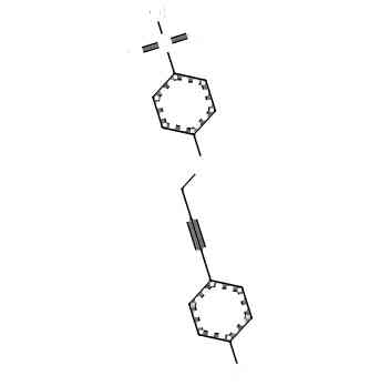 O=S(=O)(O)c1ccc(OCC#Cc2ccc(Cl)cc2)cc1